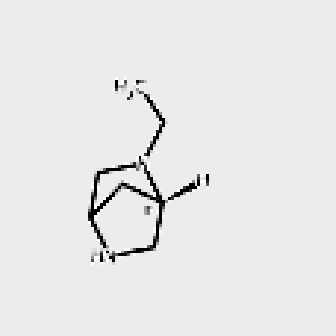 CCN1CC2C[C@H]1CN2